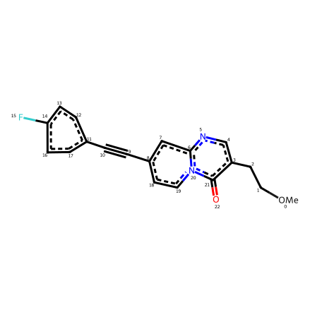 COCCc1cnc2cc(C#Cc3ccc(F)cc3)ccn2c1=O